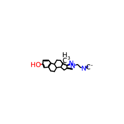 [C-]#[N+]CCn1cc2c(n1)[C@@]1(C)CCC3c4ccc(O)cc4CCC3C1C2